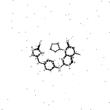 Cc1cc(=O)n(C2CCCC2)c2nc(Nc3ccc(Cc4noc(=O)[nH]4)cc3)ncc12